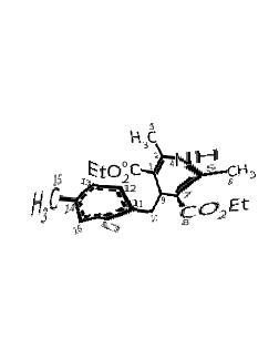 CCOC(=O)C1=C(C)NC(C)=C(C(=O)OCC)C1Cc1ccc(C)cc1